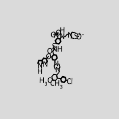 CC1(C)CCC(CN2CCN(c3ccc(C(=O)NSc4ccc(NCCN5CC[S+]([O-])CC5)c([N+](=O)[O-])c4)c(Oc4cnc5[nH]ccc5c4)c3)CC2)=C(c2ccc(Cl)cc2)C1